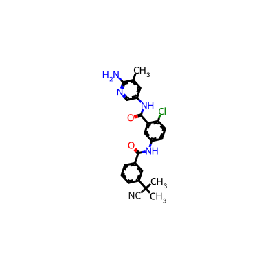 Cc1cc(NC(=O)c2cc(NC(=O)c3cccc(C(C)(C)C#N)c3)ccc2Cl)cnc1N